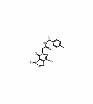 Cc1ccc(C(C)NC(=O)Cn2nc(C(C)C)c3cnn(C(C)(C)C)c3c2=O)cc1